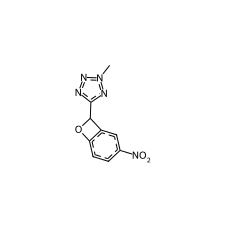 Cn1nnc(C2Oc3ccc([N+](=O)[O-])cc32)n1